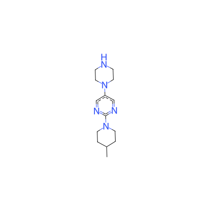 CC1CCN(c2ncc(N3CCNCC3)cn2)CC1